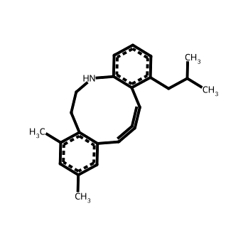 Cc1cc(C)c2c(c1)C=C=Cc1c(CC(C)C)cccc1NCC2